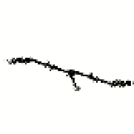 CCCCC[C@H]1CC[C@H](c2ccc(OC(=O)c3ccc(OCCCCCCCCOC(=O)CCC(=O)OCCCCCCCCOc4ccc(OCCCCCCCCOC(=O)CCC(=O)OCCCCCCCCOc5ccc(C(=O)Oc6ccc([C@H]7CC[C@H](CCCCC)CC7)cc6)cc5)c(C(=O)OCCCCCCO)c4)cc3)cc2)CC1